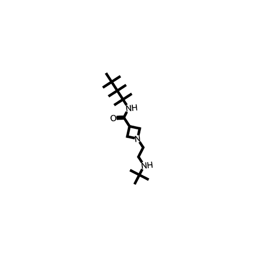 CC(C)(C)NCCN1CC(C(=O)NC(C)(C)C(C)(C)C(C)(C)C)C1